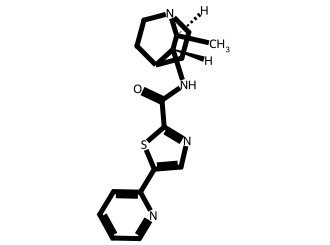 C[C@H]1[C@H](NC(=O)c2ncc(-c3ccccn3)s2)C2CCN1CC2